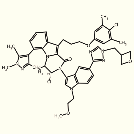 COCCn1cc(N2C(=O)c3c(CCCOc4cc(C)c(Cl)c(C)c4)c4cccc(-c5c(C)nn(C)c5C)c4n3C(C)[C@H]2Cl)c2cc(-c3ncn(CC4COC4)n3)ccc21